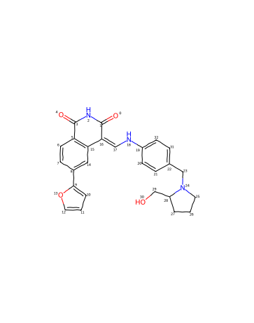 O=C1NC(=O)c2ccc(-c3ccco3)cc2C1=CNc1ccc(CN2CCCC2CO)cc1